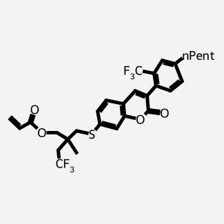 C=CC(=O)OCC(C)(CSc1ccc2cc(-c3ccc(CCCCC)cc3C(F)(F)F)c(=O)oc2c1)CC(F)(F)F